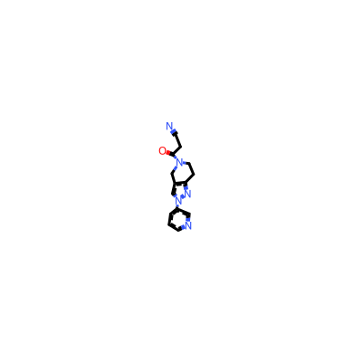 N#CCC(=O)N1CCc2nn(-c3cccnc3)cc2C1